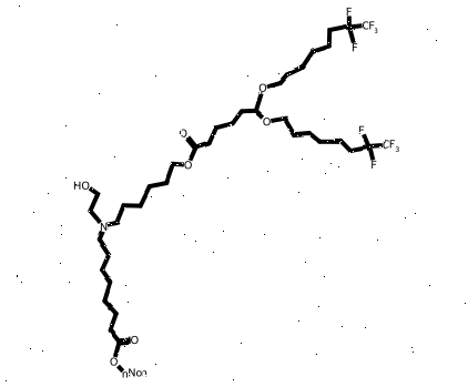 CCCCCCCCCOC(=O)CCCCCCCN(CCO)CCCCCCOC(=O)CCCCC(OCCCCCCC(F)(F)C(F)(F)F)OCCCCCCC(F)(F)C(F)(F)F